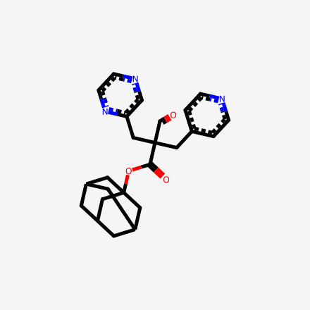 O=CC(Cc1ccncc1)(Cc1cnccn1)C(=O)OC12CC3CC(CC(C3)C1)C2